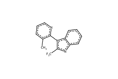 Cc1cccnc1-n1c(C(F)(F)F)nc2ccccc21